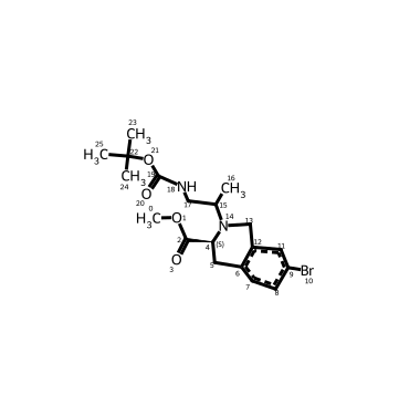 COC(=O)[C@@H]1Cc2ccc(Br)cc2CN1C(C)CNC(=O)OC(C)(C)C